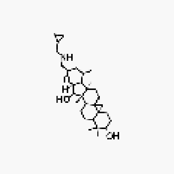 C[C@@H]1C[C@H](CNCC2CC2)O[C@H]2C1[C@@]1(C)CC[C@@]34C[C@@]35CC[C@H](O)C(C)(C)C5CCC4[C@]1(C)[C@H]2O